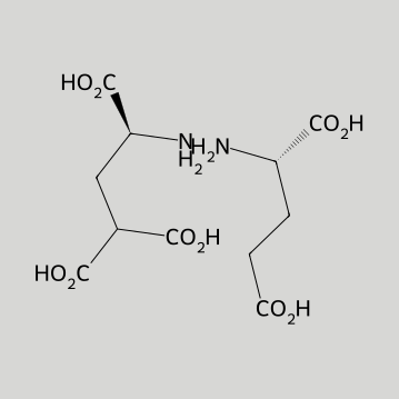 N[C@@H](CC(C(=O)O)C(=O)O)C(=O)O.N[C@@H](CCC(=O)O)C(=O)O